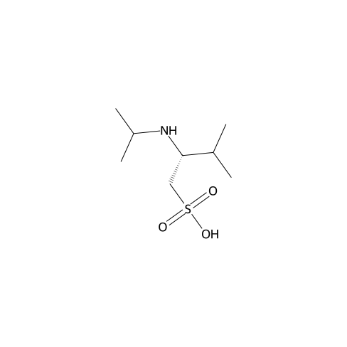 CC(C)N[C@@H](CS(=O)(=O)O)C(C)C